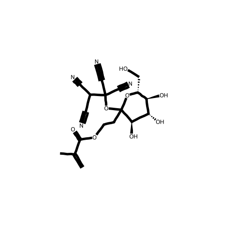 C=C(C)C(=O)OCCC1(OC(C#N)(C#N)C(C#N)C#N)O[C@H](CO)[C@@H](O)[C@H](O)[C@H]1O